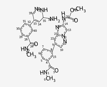 CNC(=O)c1cccc(-c2cnn3cc(NC(=O)OC)nc3c2)c1.CNC(=O)c1cccc(C2=CC(N)NN=C2)c1